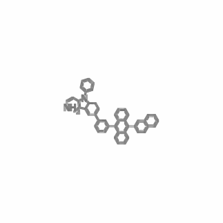 CC1=C(/C=C\N)N(c2ccccc2)C2CC=C(c3cccc(-c4c5ccccc5c(-c5ccc6ccccc6c5)c5ccccc45)c3)C=C12